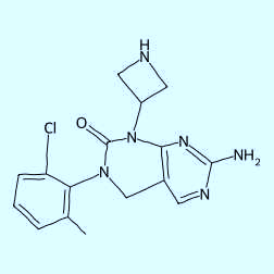 Cc1cccc(Cl)c1N1Cc2cnc(N)nc2N(C2CNC2)C1=O